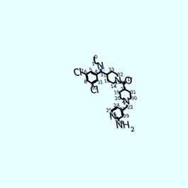 CC/N=C(\c1cc(Cl)cc(Cl)c1)C1CCN(C(=O)C2CCN(Cc3ccnc(N)c3)CC2)CC1